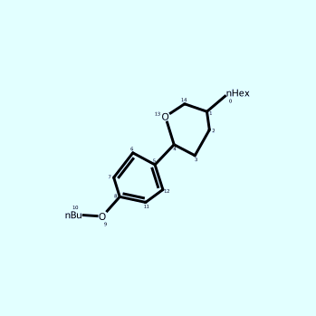 CCCCCCC1CCC(c2ccc(OCCCC)cc2)OC1